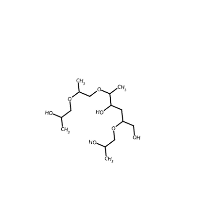 CC(O)COC(C)COC(C)C(O)CC(CO)OCC(C)O